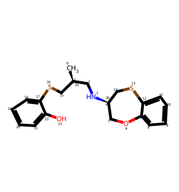 C[C@@H](CN[C@@H]1COc2ccccc2SC1)CSc1ccccc1O